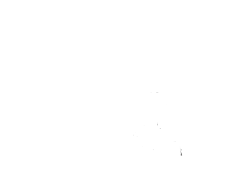 CCCCCc1cc2c(c(O)c1C(=O)N1CCC[C@]1(C)C(=O)O)C1C=C(C)CCC1C(C)(C)O2